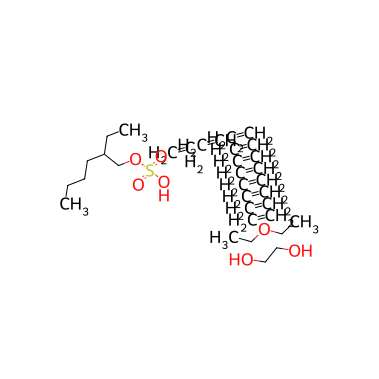 C=C.C=C.C=C.C=C.C=C.C=C.C=C.C=C.C=C.C=C.CCCCC(CC)COS(=O)(=O)O.CCOCC.OCCO